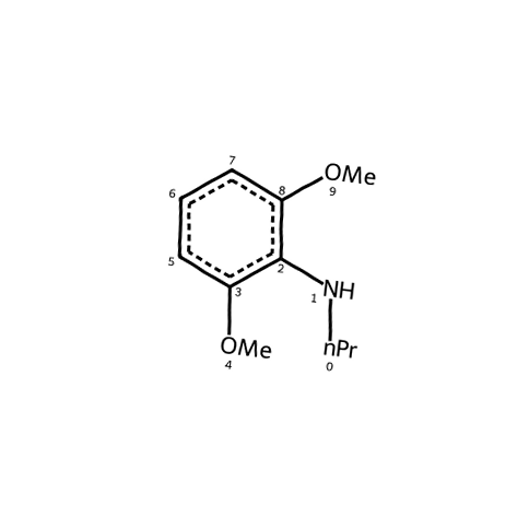 CCCNc1c(OC)cccc1OC